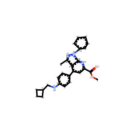 COC(=O)c1cc(-c2ccc(NCC3CCC3)cc2)c2c(C)nn(-c3ccccc3)c2n1